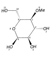 CO[C@H]1[C@H](O)[C@@H](O)[C@@H](O)O[C@@H]1CO